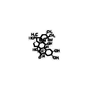 C[C@@H](C[C@@H](O)[C@](C)(O)[C@H]1CC[C@@]2(O)C3=CC(=O)[C@@H]4C[C@@H](O)[C@@H](O)C[C@]4(C)[C@H]3[C@H](O)C[C@]12C)C(C)(C)O